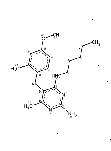 CCCCCNc1nc(N)nc(C)c1Cc1ccc(OC)cc1C